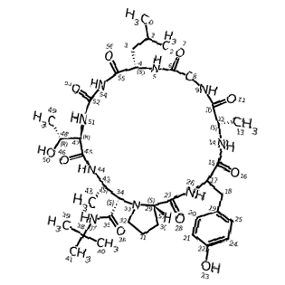 CC(C)C[C@@H]1NC(=O)CNC(=O)[C@H](C)NC(=O)C(Cc2ccc(O)cc2)NC(=O)[C@@H]2CCCN2[C@H](C(=O)NC(C)(C)C)[C@H](C)NC(=O)[C@@H]([C@@H](C)O)NC(=O)NC1=O